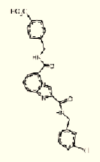 O=C(O)c1ccc(CNC(=O)c2cccc3nc(C(=O)NCc4cccc(Cl)c4)cn23)cc1